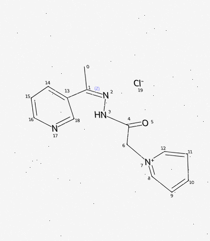 C/C(=N/NC(=O)C[n+]1ccccc1)c1cccnc1.[Cl-]